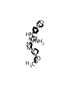 COCC(=O)N1CCCN(c2cc(-n3nc(Nc4ccc(N5CCOCC5)cc4)nc3N)ncn2)CC1